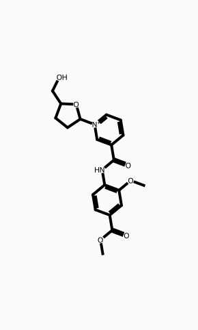 COC(=O)c1ccc(NC(=O)c2ccc[n+](C3CCC(CO)O3)c2)c(OC)c1